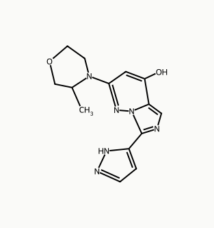 CC1COCCN1c1cc(O)c2cnc(-c3ccn[nH]3)n2n1